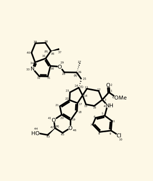 COC(=O)C1(Nc2cccc(Cl)c2)CCC2(CC1)c1cc3c(cc1C[C@@H]2C[C@@H](C)COc1ccnc2c1[C@H](C)CCC2)O[C@H](CO)CO3